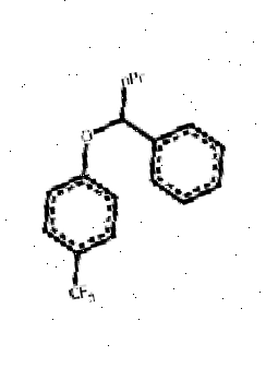 CCCC(Oc1ccc(C(F)(F)F)cc1)c1ccccc1